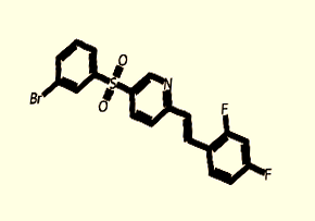 O=S(=O)(c1ccc(C=Cc2ccc(F)cc2F)nc1)c1cccc(Br)c1